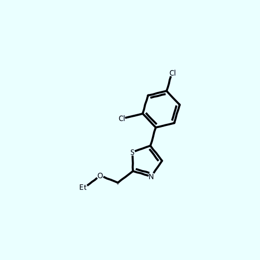 CCO[CH]c1ncc(-c2ccc(Cl)cc2Cl)s1